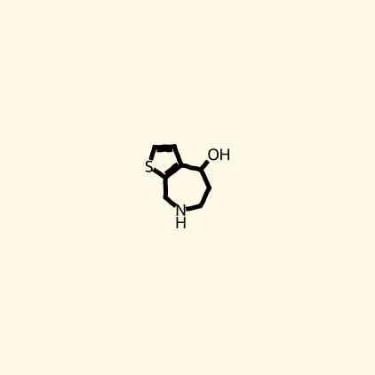 OC1CCNCc2sccc21